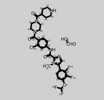 Cn1c(-c2ccc(OC(F)F)c(F)c2F)cnc1C(=O)Nc1ccc(C(=O)N2CCN(C(=O)C3CCNCC3)CC2)c(Cl)c1.O=CO